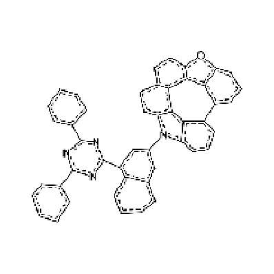 c1ccc(-c2nc(-c3ccccc3)nc(-c3cc(-n4c5cccc6c5c5c7c(ccc8oc9cccc-6c9c87)ccc54)cc4ccccc34)n2)cc1